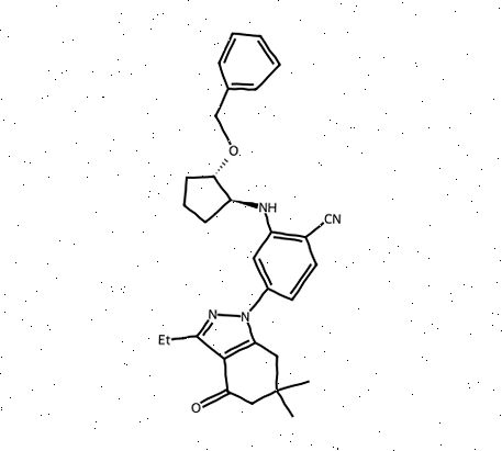 CCc1nn(-c2ccc(C#N)c(N[C@H]3CCC[C@@H]3OCc3ccccc3)c2)c2c1C(=O)CC(C)(C)C2